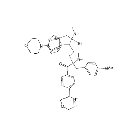 CCC(Cc1ccccc1)(C(CCC(Cc1ccc(SC)cc1)(C(=O)c1ccc(C2COCC#[N+]2)cc1)N(C)C)c1ccc(N2CCOCC2)cc1)N(C)C